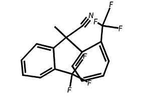 CC(C#N)(c1ccccc1C(F)(F)F)c1ccccc1C(F)(F)F